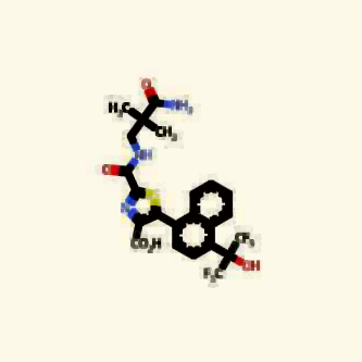 CC(C)(CNC(=O)c1nc(C(=O)O)c(-c2ccc(C(O)(C(F)(F)F)C(F)(F)F)c3ccccc23)s1)C(N)=O